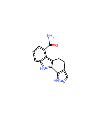 NC(=O)c1cccc2[nH]c3c(c12)CCc1cn[nH]c1-3